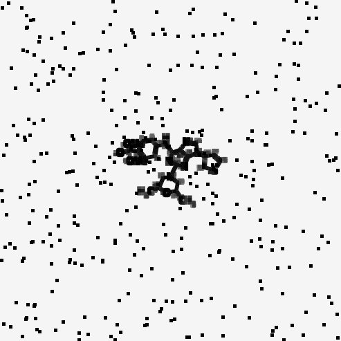 COP(=O)(OC)c1ccc(Nc2nc(N3CC(C)OC(C)C3)nc3c2ncn3-c2ccsc2)cc1